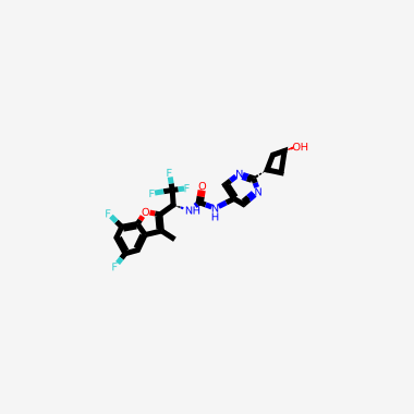 Cc1c([C@@H](NC(=O)Nc2cnc([C@H]3C[C@@H](O)C3)nc2)C(F)(F)F)oc2c(F)cc(F)cc12